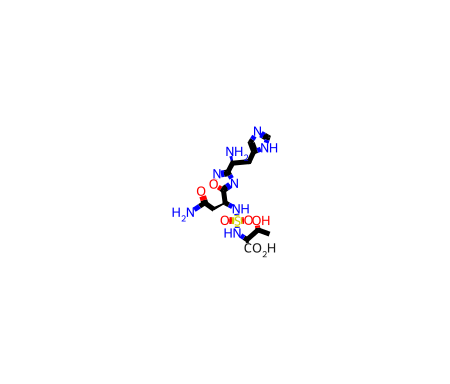 CC(O)[C@H](NS(=O)(=O)N[C@@H](CC(N)=O)c1nc([C@@H](N)Cc2cnc[nH]2)no1)C(=O)O